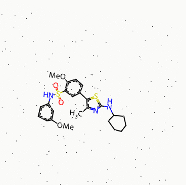 COc1cccc(NS(=O)(=O)c2cc(-c3sc(NC4CCCCC4)nc3C)ccc2OC)c1